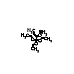 CCOC(OCC)(OCC)C(CC)O[SiH3]